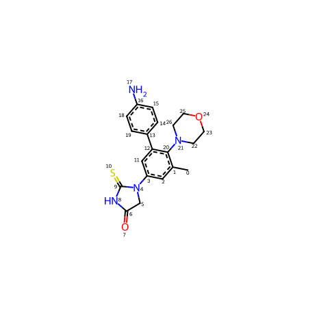 Cc1cc(N2CC(=O)NC2=S)cc(-c2ccc(N)cc2)c1N1CCOCC1